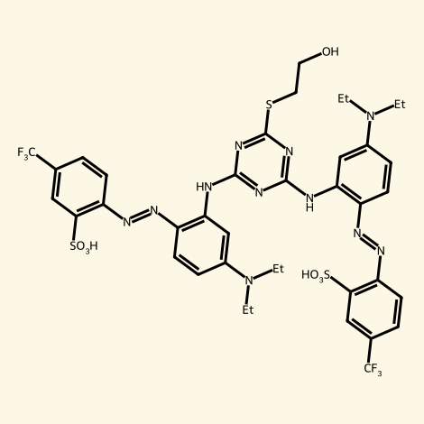 CCN(CC)c1ccc(/N=N/c2ccc(C(F)(F)F)cc2S(=O)(=O)O)c(Nc2nc(Nc3cc(N(CC)CC)ccc3/N=N/c3ccc(C(F)(F)F)cc3S(=O)(=O)O)nc(SCCO)n2)c1